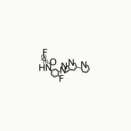 O=C(Nc1ccc(F)c(-n2cc3cc(-c4ccccn4)cnc3n2)c1)[C@@H]1C[C@@H]1F